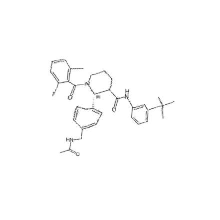 CC(=O)NCc1ccc([C@H]2C(C(=O)Nc3cccc(C(C)(C)C)c3)CCCN2C(=O)c2c(C)cccc2F)cc1